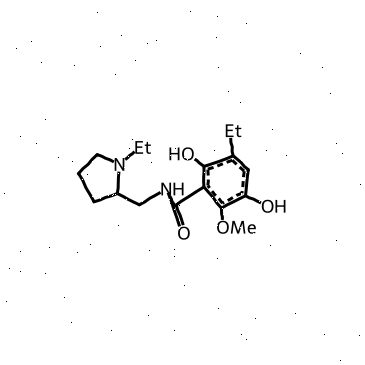 CCc1cc(O)c(OC)c(C(=O)NCC2CCCN2CC)c1O